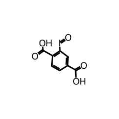 O=Ic1cc(C(=O)O)ccc1C(=O)O